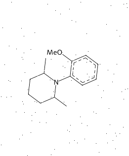 COc1c[c]ccc1N1C(C)CCCC1C